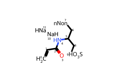 C=CC(=O)NC(CCCCCCCCCC)CS(=O)(=O)O.[NaH].[NaH]